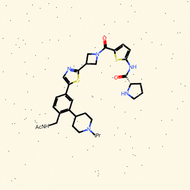 CC(=O)NCc1ccc(-c2cnc(C3CN(C(=O)c4ccc(NC(=O)[C@@H]5CCCN5)s4)C3)s2)cc1C1CCN(C(C)C)CC1